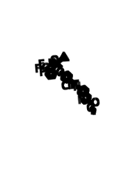 CCOC(=O)c1cnc2cc(N3CC(c4ccc(OCc5c(-c6ccccc6OC(F)(F)F)noc5C5CC5)cc4Cl)C3)ccc2c1